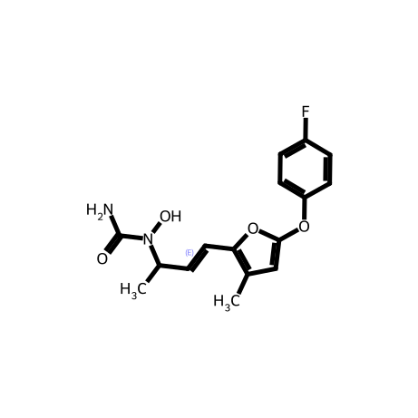 Cc1cc(Oc2ccc(F)cc2)oc1/C=C/C(C)N(O)C(N)=O